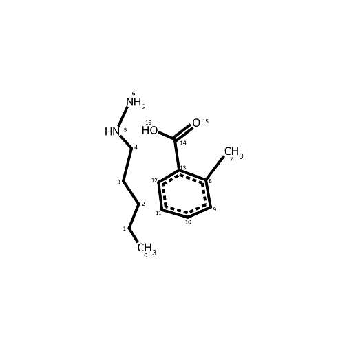 CCCCCNN.Cc1ccccc1C(=O)O